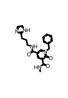 CNC(=O)c1cc(C(=O)NCCCc2ncc[nH]2)cn(Cc2ccccc2)c1=O